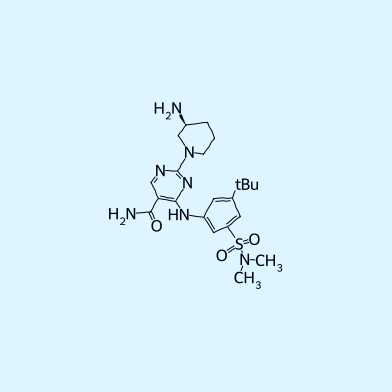 CN(C)S(=O)(=O)c1cc(Nc2nc(N3CCC[C@H](N)C3)ncc2C(N)=O)cc(C(C)(C)C)c1